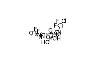 CO[C@@H]1[C@@H](n2cc(-c3ccc(Cl)c(F)c3F)nn2)[C@@H](O)[C@@H](CO)O[C@@H]1Cc1cn([C@H]2CCOCC2(F)F)nn1